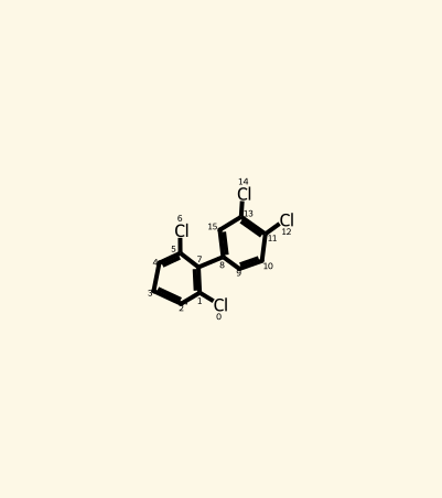 Clc1[c]ccc(Cl)c1-c1ccc(Cl)c(Cl)c1